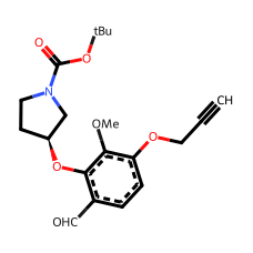 C#CCOc1ccc(C=O)c(O[C@H]2CCN(C(=O)OC(C)(C)C)C2)c1OC